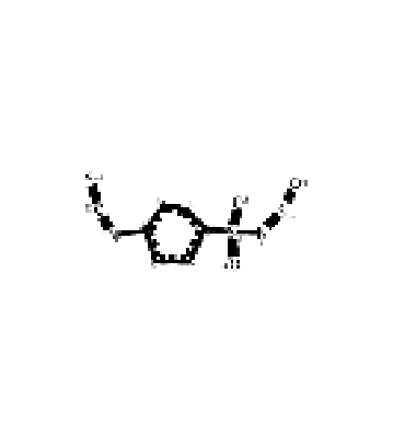 O=C=NS(=O)(=O)c1ccc(N=C=S)cc1